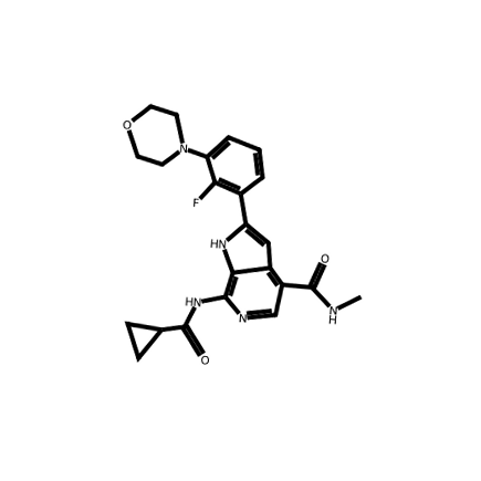 CNC(=O)c1cnc(NC(=O)C2CC2)c2[nH]c(-c3cccc(N4CCOCC4)c3F)cc12